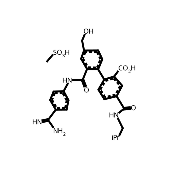 CC(C)CNC(=O)c1ccc(-c2ccc(CO)cc2C(=O)Nc2ccc(C(=N)N)cc2)c(C(=O)O)c1.CS(=O)(=O)O